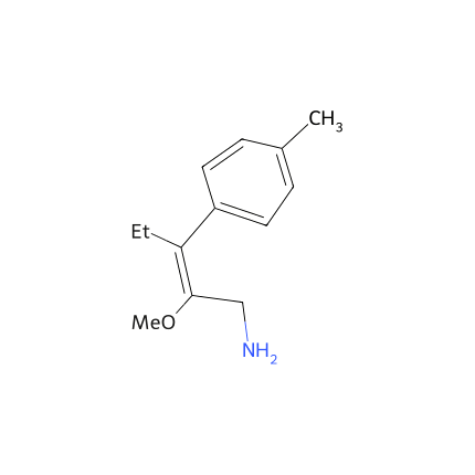 CCC(=C(CN)OC)c1ccc(C)cc1